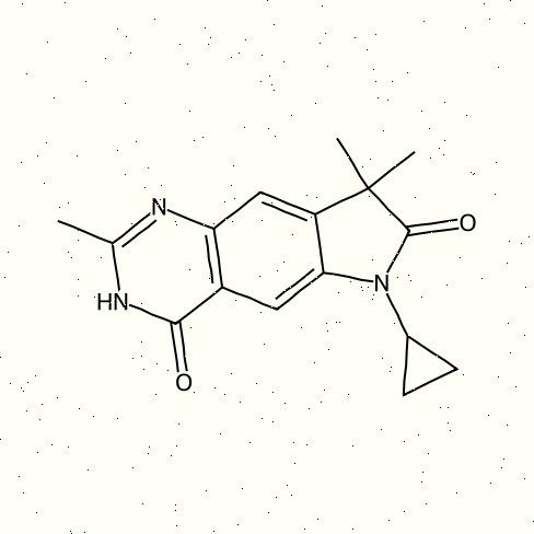 Cc1nc2cc3c(cc2c(=O)[nH]1)N(C1CC1)C(=O)C3(C)C